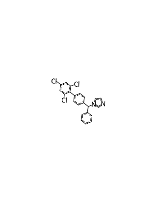 Clc1cc(Cl)c(-c2ccc(C(c3ccccc3)n3ccnc3)cc2)c(Cl)c1